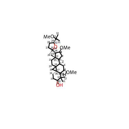 CO[C@H]1C[C@@]2(C)C3C[C@H](OC)[C@H]4C(C)(C)[C@@H](O)CC[C@@]45CC35CC[C@]2(C)[C@H]1[C@@]1(C)CC[C@@H](C(C)(C)OC)O1